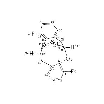 Fc1cccc2c1O[C@@H]1CSC[C@H](C2)Oc2c(F)cccc2C1